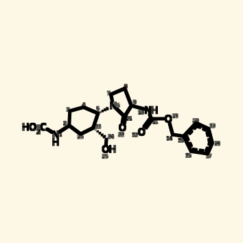 O=C(O)NC1CC[C@H](N2CCC(NC(=O)OCc3ccccc3)C2=O)[C@H](CO)C1